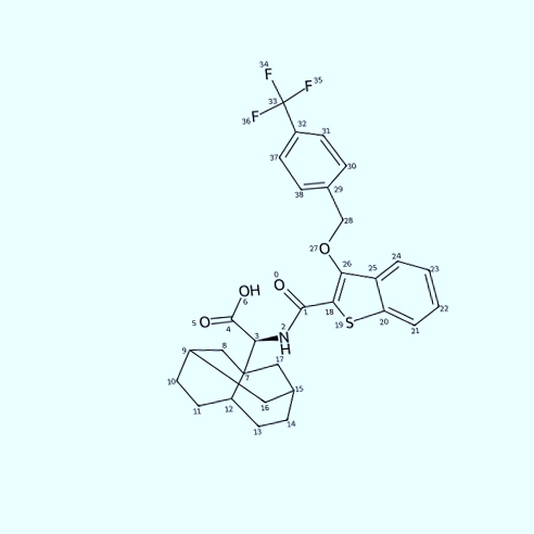 O=C(N[C@H](C(=O)O)C12CC3CCC1CCC(C3)C2)c1sc2ccccc2c1OCc1ccc(C(F)(F)F)cc1